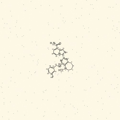 CN1CCCCc2nc(-c3ncc4c(C(N)=O)cccn34)nc(NCc3cccc(F)c3)c21